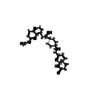 COc1ccc2nccc(C[C@@H](O)[C@H]3CC[C@H](NCc4ccc5c(n4)NC(=O)CS5)CC3)c2n1